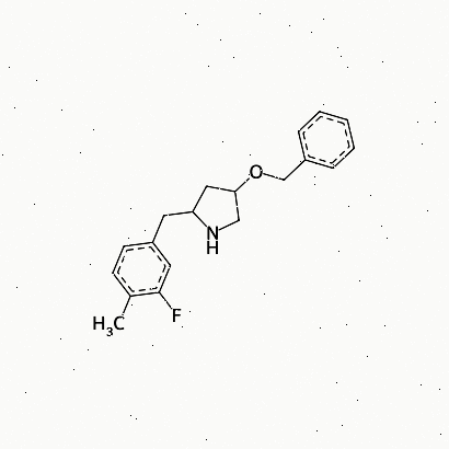 Cc1ccc(CC2CC(OCc3ccccc3)CN2)cc1F